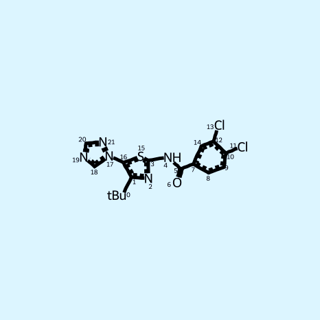 CC(C)(C)c1nc(NC(=O)c2ccc(Cl)c(Cl)c2)sc1-n1cncn1